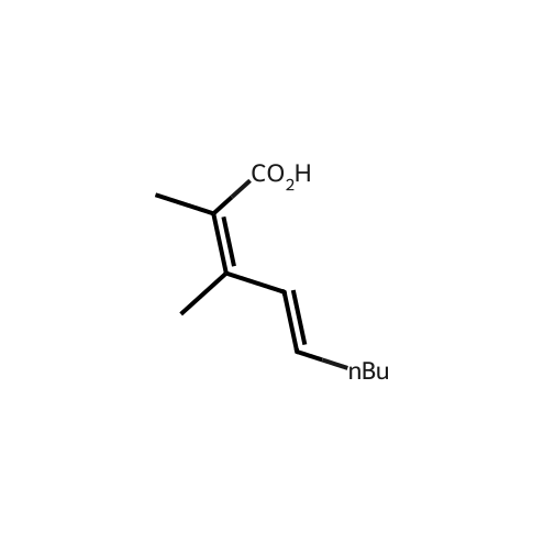 CCCC/C=C/C(C)=C(/C)C(=O)O